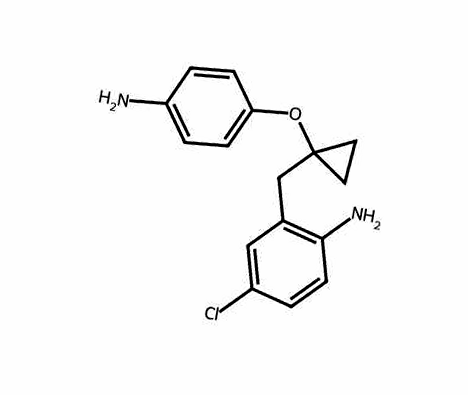 Nc1ccc(OC2(Cc3cc(Cl)ccc3N)CC2)cc1